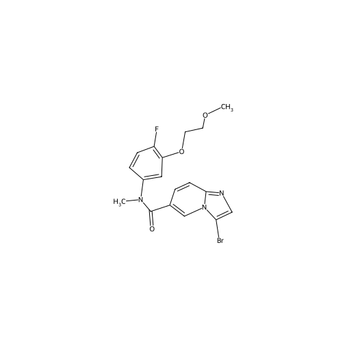 COCCOc1cc(N(C)C(=O)c2ccc3ncc(Br)n3c2)ccc1F